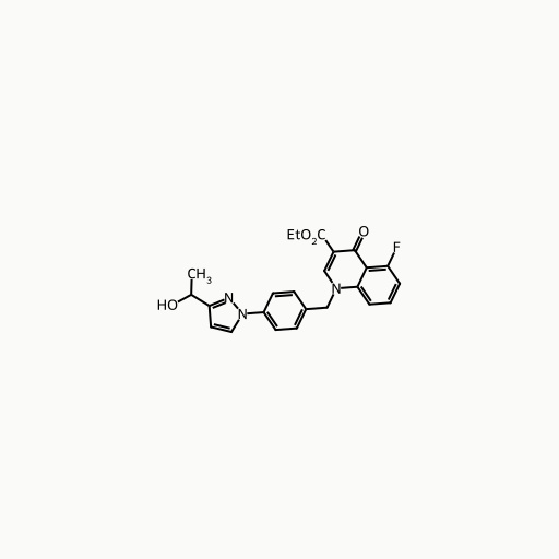 CCOC(=O)c1cn(Cc2ccc(-n3ccc(C(C)O)n3)cc2)c2cccc(F)c2c1=O